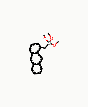 CO[Si](Cc1cccc2cc3ccccc3cc12)(OC)OC